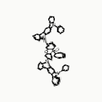 O=P1(c2ccccc2)c2ccc(-n3c4ccccc4c4cc5c6ccccc6n(-c6ccccc6)c5cc43)cc2OC2C=C(n3c4ccccc4c4cc5c6ccccc6n(-c6ccccc6)c5cc43)C=CC21